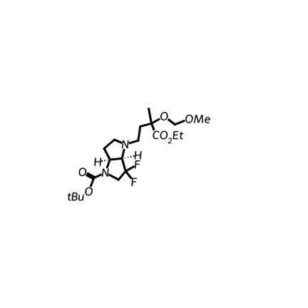 CCOC(=O)C(C)(CCN1CC[C@H]2[C@@H]1C(F)(F)CN2C(=O)OC(C)(C)C)OCOC